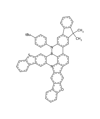 CC(C)(C)c1ccc(N2B3c4cc5sc6ccccc6c5cc4-n4c5cc6c(cc5c5ccc(c3c54)-c3cc4c(cc32)-c2ccccc2C4(C)C)oc2ccccc26)cc1